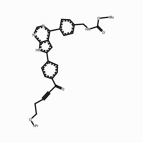 CCCOCCC#CC(=O)c1ccc(-c2cc3c(-c4ccc(CNC(=O)OC(C)(C)C)cc4)ncnc3[nH]2)cc1